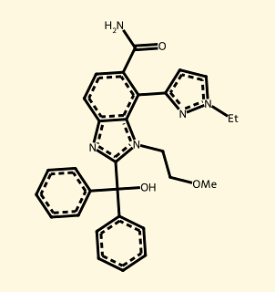 CCn1ccc(-c2c(C(N)=O)ccc3nc(C(O)(c4ccccc4)c4ccccc4)n(CCOC)c23)n1